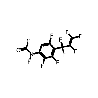 O=C(Cl)N(F)c1cc(F)c(C(F)(F)C(F)=C(F)F)c(F)c1F